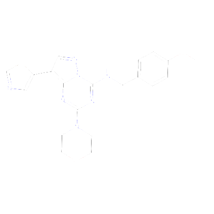 COc1ccc(CNc2nc(N3CCOCC3)nc3c(-c4cncs4)cnn23)cc1